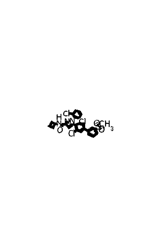 CS(=O)(=O)c1cccc(-c2ccc(-c3cc(C(=O)NC4CCC4)nn3-c3c(Cl)cccc3Cl)c(Cl)c2)c1